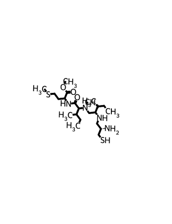 CCC(C)C(CN(C)C(C(=O)NC(CCSC)C(=O)OC)C(C)CC)NC[C@H](N)CS